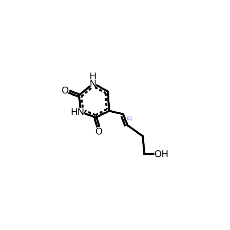 O=c1[nH]cc(/C=C/CCO)c(=O)[nH]1